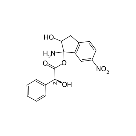 NC1(OC(=O)[C@@H](O)c2ccccc2)c2cc([N+](=O)[O-])ccc2CC1O